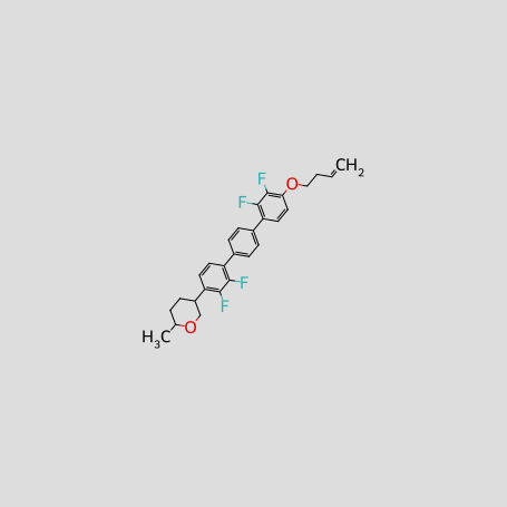 C=CCCOc1ccc(-c2ccc(-c3ccc(C4CCC(C)OC4)c(F)c3F)cc2)c(F)c1F